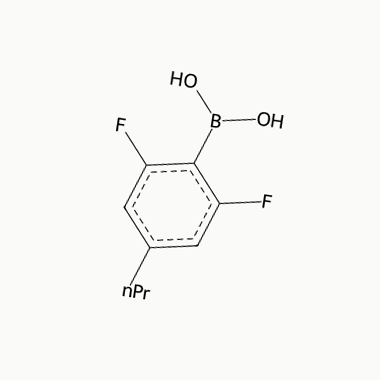 CCCc1cc(F)c(B(O)O)c(F)c1